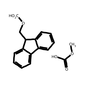 COC(=O)O.O=C(O)OCC1c2ccccc2-c2ccccc21